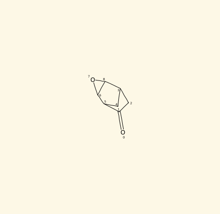 O=C1CC2CC1C1OC21